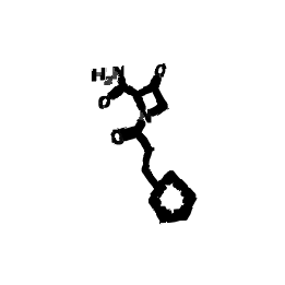 NC(=O)C1C(=O)CN1C(=O)[CH]Cc1ccccc1